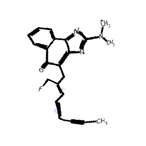 CC#C/C=C\C=C(/CF)CC1=C2N=C(N(C)C)N=C2c2ccccc2C1=O